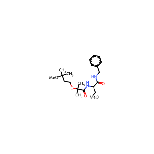 COC[C@@H](NC(=O)C(C)(C)OCCC(C)(C)OC)C(=O)NCc1ccccc1